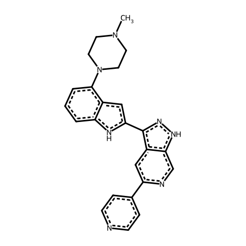 CN1CCN(c2cccc3[nH]c(-c4n[nH]c5cnc(-c6ccncc6)cc45)cc23)CC1